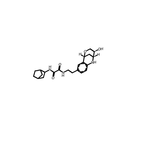 O=C(NCCc1ccc2c(c1)[C@H]1C[C@@H](N2)[C@H](O)CO1)C(=O)NC1CC2CCC1C2